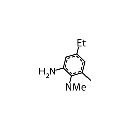 CCc1cc(C)c(NC)c(N)c1